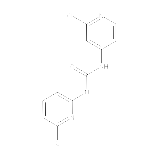 O=C(Nc1ccnc(Cl)c1)Nc1cccc(Cl)n1